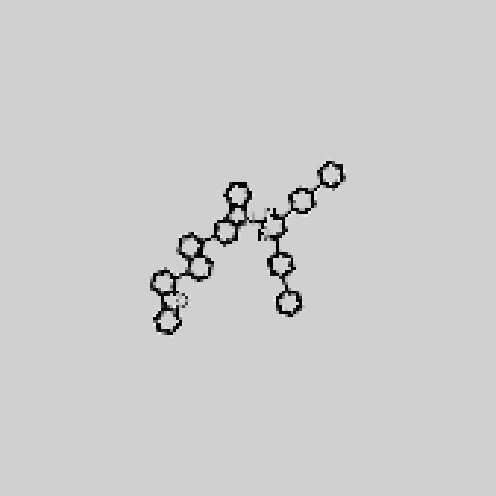 c1ccc(-c2ccc(-c3cc(-c4ccc(-c5ccccc5)cc4)nc(-n4c5ccccc5c5cc(-c6cccc7c(-c8cccc9c8oc8ccccc89)cccc67)ccc54)n3)cc2)cc1